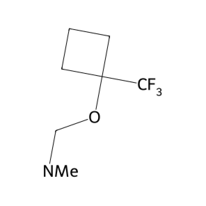 CNCOC1(C(F)(F)F)CCC1